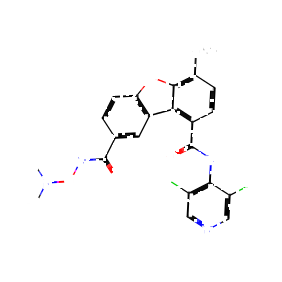 CCN(CC)ONC(=O)c1ccc2oc3c(OC)ccc(C(=O)Nc4c(Cl)cncc4Cl)c3c2c1